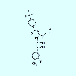 Cc1ccc(C2CC(N/C(=N\C(=O)c3ccc(C(F)(F)F)cc3)NC3COC3)NN2)cc1F